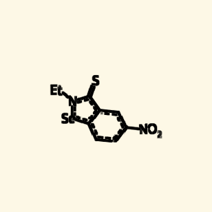 CCn1[se]c2ccc([N+](=O)[O-])cc2c1=S